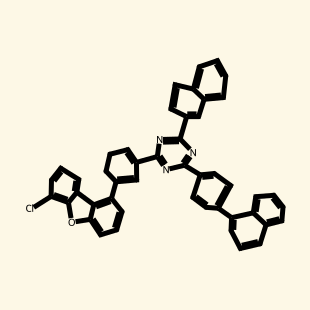 Clc1cccc2c1oc1cccc(C3=CC(c4nc(-c5ccc(-c6cccc7ccccc67)cc5)nc(-c5ccc6ccccc6c5)n4)=CCC3)c12